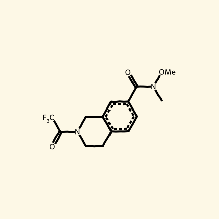 CON(C)C(=O)c1ccc2c(c1)CN(C(=O)C(F)(F)F)CC2